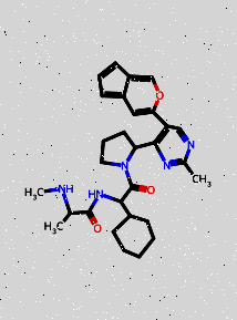 CNC(C)C(=O)NC(C(=O)N1CCCC1c1nc(C)ncc1-c1cc2cccc-2co1)C1CCCCC1